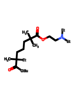 CCN(CC)CCOC(=O)C(C)(C)CCCC(C)(CC)C(=O)OCC(C)C